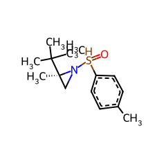 Cc1ccc([SH](C)(=O)N2C[C@@]2(C)C(C)(C)C)cc1